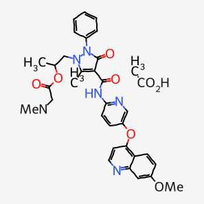 CC(=O)O.CNCC(=O)OC(C)Cn1c(C)c(C(=O)Nc2ccc(Oc3ccnc4cc(OC)ccc34)cn2)c(=O)n1-c1ccccc1